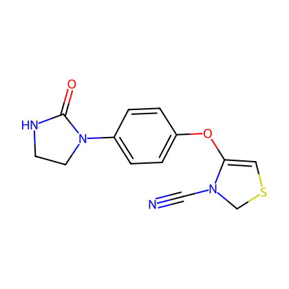 N#CN1CSC=C1Oc1ccc(N2CCNC2=O)cc1